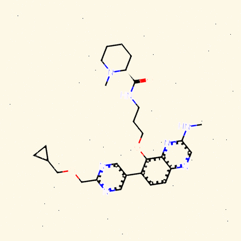 CNc1cnc2ccc(-c3cnc(COCC4CC4)nc3)c(OCCCNC(=O)[C@@H]3CCCCN3C)c2n1